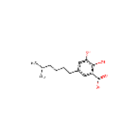 CC(C)CCCCc1cc(O)c(O)c(C(=O)O)c1